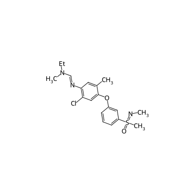 CCN(C)C=Nc1cc(C)c(Oc2cccc(S(C)(=O)=NC)c2)cc1Cl